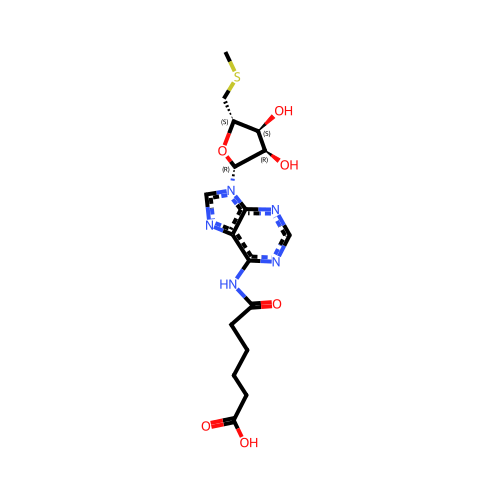 CSC[C@H]1O[C@@H](n2cnc3c(NC(=O)CCCCC(=O)O)ncnc32)[C@H](O)[C@@H]1O